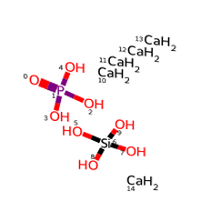 O=P(O)(O)O.O[Si](O)(O)O.[CaH2].[CaH2].[CaH2].[CaH2].[CaH2]